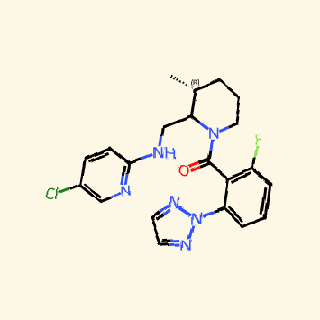 C[C@@H]1CCCN(C(=O)c2c(F)cccc2-n2nccn2)C1CNc1ccc(Cl)cn1